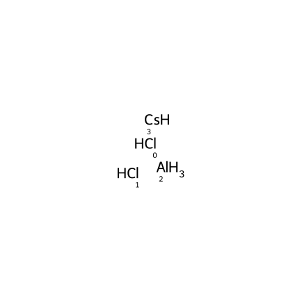 Cl.Cl.[AlH3].[CsH]